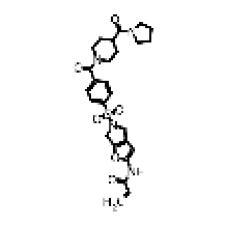 C=CC(=O)Nc1cc2c(o1)CN(S(=O)(=O)c1ccc(C(=O)N3CCC(C(=O)N4CCCC4)CC3)cc1)C2